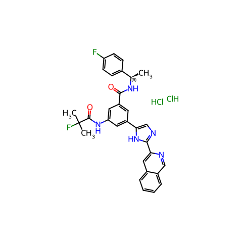 C[C@@H](NC(=O)c1cc(NC(=O)C(C)(C)F)cc(-c2cnc(-c3cc4ccccc4cn3)[nH]2)c1)c1ccc(F)cc1.Cl.Cl